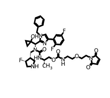 C[C@@H](COC(=O)NCCOCCN1C(=O)C=CC1=O)NC(=O)N(C[C@@H]1CNC[C@@H]1F)[C@@H](c1nc(-c2cc(F)ccc2F)cn1Cc1ccccc1)C1(O)CC1